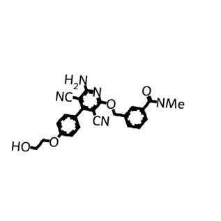 CNC(=O)c1cccc(COc2nc(N)c(C#N)c(-c3ccc(OCCO)cc3)c2C#N)c1